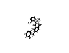 Cc1cccc(C)c1N1C(=O)c2cc(C(=O)C3=C(O)CCCC3=O)ccc2N(C)C1O